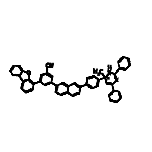 C[C@]1(c2ccc(-c3ccc4ccc(-c5cc(C#N)cc(-c6cccc7c6oc6ccccc67)c5)cc4c3)cc2)C=C(c2ccccc2)N=C(c2ccccc2)N1